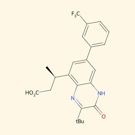 C[C@H](CC(=O)O)c1cc(-c2cccc(C(F)(F)F)c2)cc2[nH]c(=O)c(C(C)(C)C)nc12